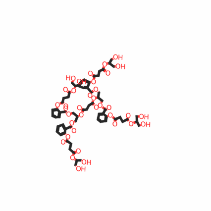 O=C(CCC(=O)OC(CO)CO)Oc1ccccc1C(=O)OCC(COC(=O)c1ccccc1OC(=O)CCC(=O)OC(CO)CO)OC(=O)CCC(=O)OC(COC(=O)c1ccccc1OC(=O)CCC(=O)OC(CO)CO)COC(=O)c1ccccc1OC(=O)CCC(=O)OC(CO)CO